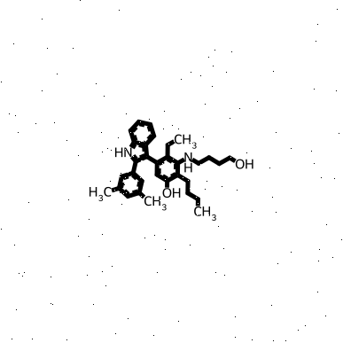 CCCCc1c(O)cc(-c2c(-c3cc(C)cc(C)c3)[nH]c3ccccc23)c(CC)c1NCCCCO